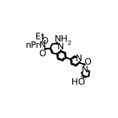 CCCN(OCC)C(=O)C1=Cc2ccc(-c3ccc(C(=O)N4CC[C@@H](O)C4)nc3)cc2N=C(N)C1